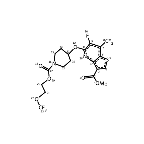 COC(=O)c1csc2c(C(F)(F)F)c(F)c(OC3CCN(C(=O)OCCOC(F)(F)F)CC3)nc12